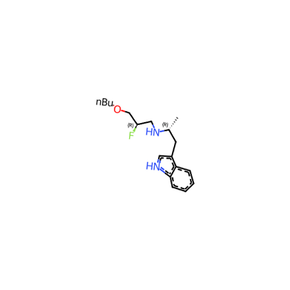 CCCCOC[C@H](F)CN[C@H](C)Cc1c[nH]c2ccccc12